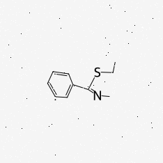 CCSC(=NC)c1c[c]ccc1